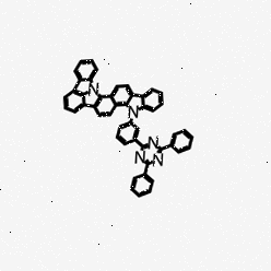 c1ccc(-c2nc(-c3ccccc3)nc(-c3cccc(-n4c5ccccc5c5ccc6c(ccc7c8cccc9c%10ccccc%10n(c67)c98)c54)c3)n2)cc1